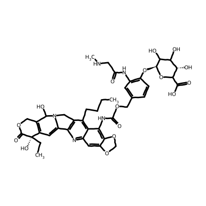 CCCCc1c2c(nc3cc4c(c(NC(=O)OCc5ccc(O[C@@H]6OC(C(=O)O)[C@@H](O)C(O)C6O)c(NC(=O)CNC)c5)c13)OCO4)C1=CC3=C(COC(=O)[C@]3(O)CC)C(O)N1C2